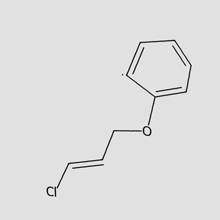 ClC=CCOc1[c]cccc1